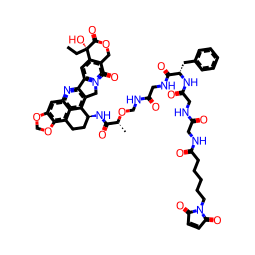 CC[C@@]1(O)C(=O)OCc2c1cc1n(c2=O)Cc2c-1nc1cc3c(c4c1c2[C@@H](NC(=O)[C@@H](C)OCNC(=O)CNC(=O)[C@H](Cc1ccccc1)NC(=O)CNC(=O)CNC(=O)CCCCCN1C(=O)C=CC1=O)CC4)OCO3